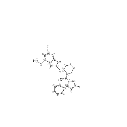 Cc1nc(C(=O)N2CCCC[C@H]2Cc2cn3cc(F)cc(CO)c3n2)c(-c2ccccc2)s1